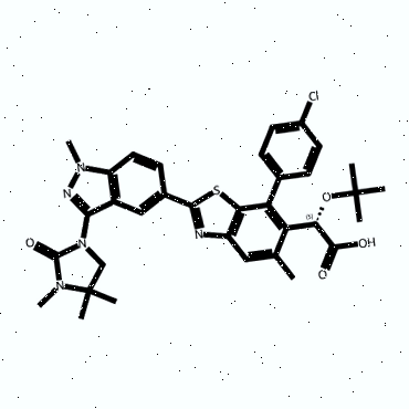 Cc1cc2nc(-c3ccc4c(c3)c(N3CC(C)(C)N(C)C3=O)nn4C)sc2c(-c2ccc(Cl)cc2)c1[C@H](OC(C)(C)C)C(=O)O